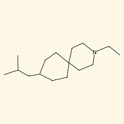 CCN1CCC2(CCC(CC(C)C)CC2)CC1